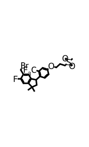 CC1(C)CC(c2ccc(OCCCS(C)(=O)=O)cc2C(F)(F)F)c2cc(CBr)c(F)cc21